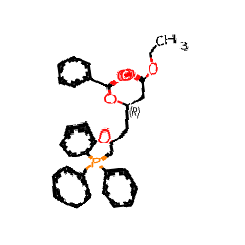 CCOC(=O)C[C@@H](CC(=O)C=P(c1ccccc1)(c1ccccc1)c1ccccc1)OC(=O)c1ccccc1